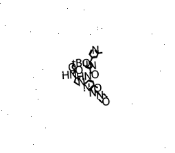 Cc1cc(-c2nc(C(=O)Nc3cc4oc(N5CCOCC5)nc4nc3N3CC[C@@H](NC(=O)OC(C)(C)C)C3)co2)ccn1